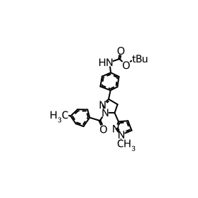 Cc1ccc(C(=O)N2N=C(c3ccc(NC(=O)OC(C)(C)C)cc3)CC2c2ccn(C)n2)cc1